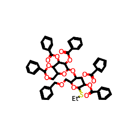 CCSC1OC(COCc2ccccc2)C(OC2OC3COC(c4ccccc4)OC3C(OC(=O)c3ccccc3)C2OC(=O)c2ccccc2)C(OC(=O)c2ccccc2)C1OC(=O)c1ccccc1